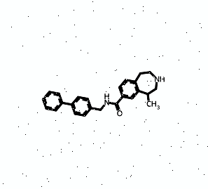 CC1CNCCc2ccc(C(=O)NCc3ccc(-c4ccccc4)cc3)cc21